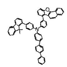 CC1(C)c2ccccc2-c2cccc(-c3ccc(N(c4ccc(-c5ccc(-c6ccccc6)cc5)cc4)c4cccc(-c5cccc6oc7c8ccccc8ccc7c56)c4)cc3)c21